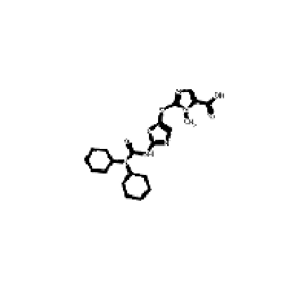 Cn1c(C(=O)O)cnc1Sc1cnc(NC(=O)N(C2CCCCC2)C2CCCCC2)s1